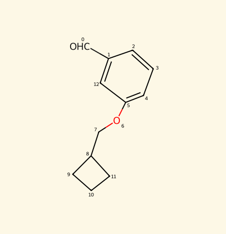 O=Cc1cccc(OCC2CCC2)c1